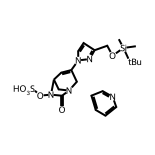 CC(C)(C)[Si](C)(C)OCc1ccn(C2=CC3CN(C2)C(=O)N3OS(=O)(=O)O)n1.c1ccncc1